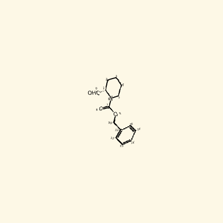 O=C[C@@H]1CCCCN1C(=O)OCc1ccccc1